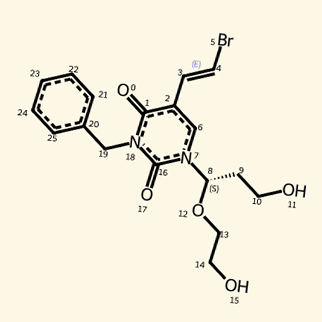 O=c1c(/C=C/Br)cn([C@H](CCO)OCCO)c(=O)n1Cc1ccccc1